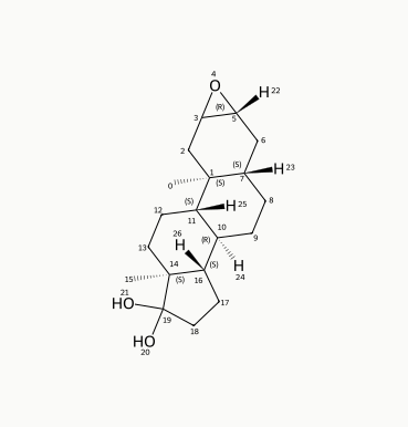 C[C@]12CC3O[C@@H]3C[C@@H]1CC[C@@H]1[C@@H]2CC[C@@]2(C)[C@H]1CCC2(O)O